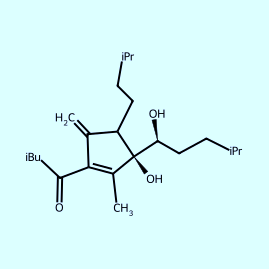 C=C1C(C(=O)C(C)CC)=C(C)[C@@](O)([C@@H](O)CCC(C)C)C1CCC(C)C